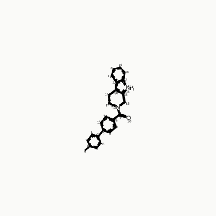 Cc1ccc(-c2ccc(C(=O)N3CCc4c([nH]c5ccccc45)C3)cc2)cc1